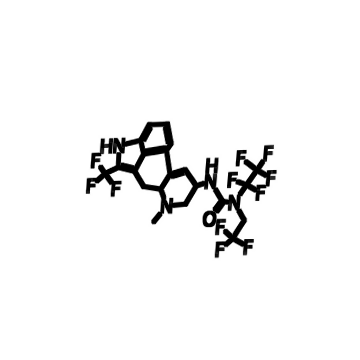 CN1CC(NC(=O)N(CC(F)(F)F)C(F)(F)C(F)(F)F)C=C2c3cccc4[nH]c(C(F)(F)F)c(c34)CC21